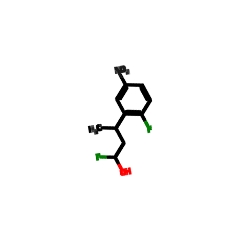 C[C](CC(O)F)c1cc([N+](=O)[O-])ccc1F